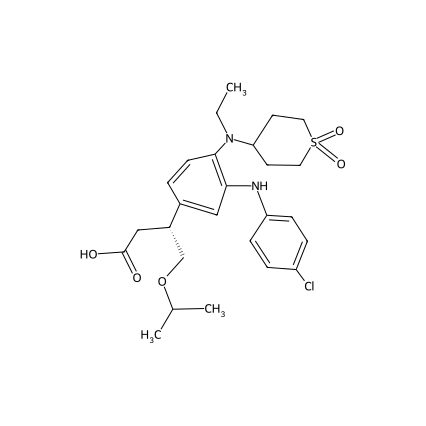 CCN(c1ccc([C@H](COC(C)C)CC(=O)O)cc1Nc1ccc(Cl)cc1)C1CCS(=O)(=O)CC1